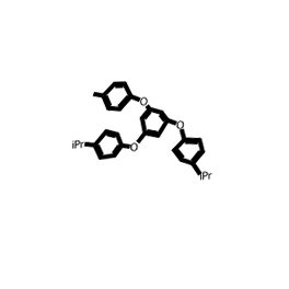 Cc1ccc(Oc2cc(Oc3ccc(C(C)C)cc3)cc(Oc3ccc(C(C)C)cc3)c2)cc1